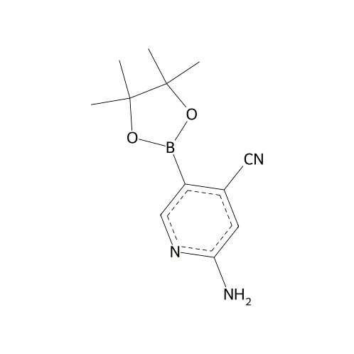 CC1(C)OB(c2cnc(N)cc2C#N)OC1(C)C